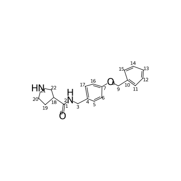 O=C(NCc1ccc(OCc2ccccc2)cc1)C1CCNC1